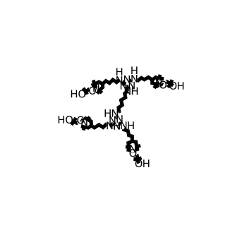 CC(C)(O)CON1C(C)(C)CC(CCCCNc2nc(NCCCCCCNc3nc(NCCCCC4CC(C)(C)N(OCC(C)(C)O)C(C)(C)C4)nc(NCCCCC4CC(C)(C)N(OCC(C)(C)O)C(C)(C)C4)n3)nc(NCCCCC3CC(C)(C)N(OCC(C)(C)O)C(C)(C)C3)n2)CC1(C)C